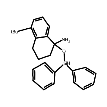 CC(C)(C)c1cccc2c1CCCC2(N)O[SiH](c1ccccc1)c1ccccc1